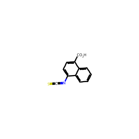 O=C(O)c1ccc(N=C=S)c2ccccc12